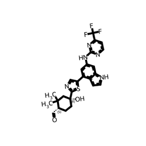 CC1(C)C[C@@](O)(c2ncc(-c3cc(Nc4nccc(C(F)(F)F)n4)cc4[nH]ccc34)s2)CC[C@@H]1C=O